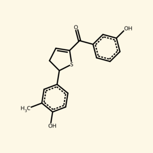 Cc1cc(C2CC=C(C(=O)c3cccc(O)c3)S2)ccc1O